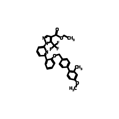 CCOC(=O)c1cnn(-c2cccc(-c3ccccc3OCc3ccc(-c4ccc(OC)cc4C)cc3)n2)c1C(F)(F)F